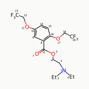 CCN(CC)CCOC(=O)c1cc(OCC(F)(F)F)ccc1OCC(F)(F)F